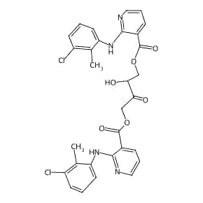 Cc1c(Cl)cccc1Nc1ncccc1C(=O)OCC(=O)C(O)COC(=O)c1cccnc1Nc1cccc(Cl)c1C